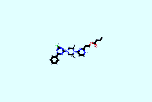 CCCC(=O)OCCc1nccc(N2[C@H](C)CN(c3nc(Cl)nc(-c4ccccc4)n3)C[C@@H]2C)n1